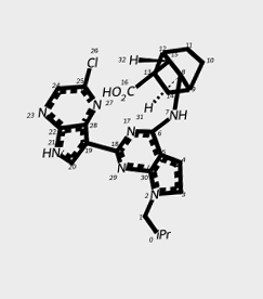 CC(C)Cn1ccc2c(N[C@@H]3C4CCC(CC4)[C@H]3C(=O)O)nc(-c3c[nH]c4ncc(Cl)nc34)nc21